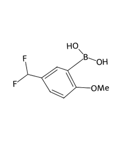 COc1ccc(C(F)F)cc1B(O)O